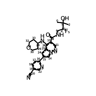 CC(C)(O)[C@H](F)CNC(=O)c1cnn2cc(-c3ccc(C#N)cn3)cc2c1NC1CCOCC1